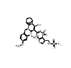 COc1ccc(CN2C(=O)C(C3=NS(=O)(=O)C4=C(N3)SCC4CNS(C)(=O)=O)=C(O)C3C4CCC(CC4)C32)c(OC)c1